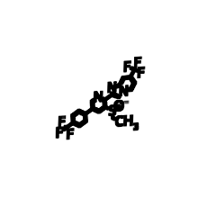 CC[S+]([O-])c1cc(-c2ccc(C(F)(F)F)cc2)cnc1-c1cn2ccc(C(F)(F)F)cc2n1